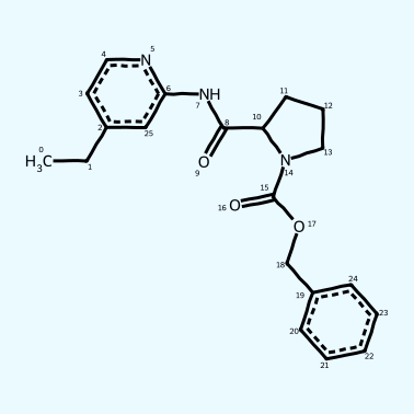 CCc1ccnc(NC(=O)C2CCCN2C(=O)OCc2ccccc2)c1